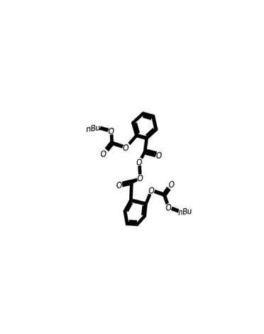 CCCCOC(=O)Oc1ccccc1C(=O)OOC(=O)c1ccccc1OC(=O)OCCCC